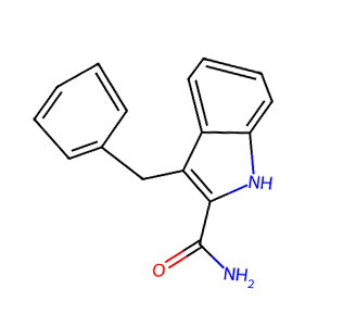 NC(=O)c1[nH]c2ccccc2c1Cc1ccccc1